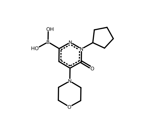 O=c1c(N2CCOCC2)cc(B(O)O)nn1C1CCCC1